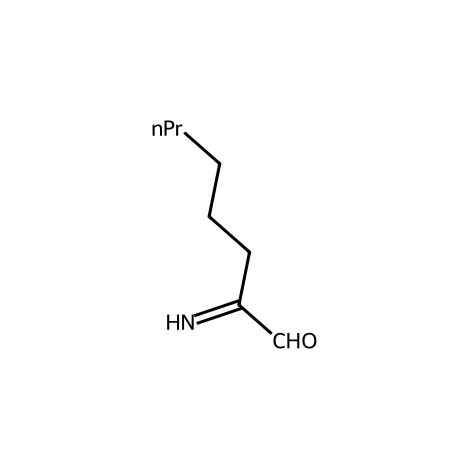 CCCCCCC(=N)C=O